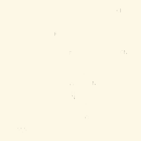 CC(C(=O)Nc1ccc(C(=O)O)cc1)n1cc(C#N)c(-c2cc(Cl)ccc2C(F)F)cc1=O